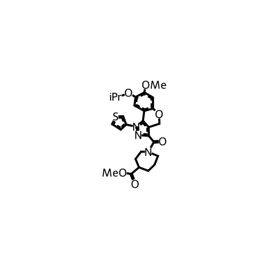 COC(=O)C1CCCN(C(=O)c2nn(-c3ccsc3)c3c2COc2cc(OC)c(OC(C)C)cc2-3)CC1